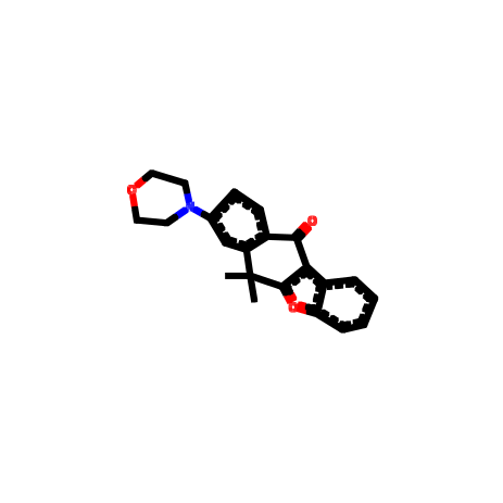 CC1(C)c2cc(N3CCOCC3)ccc2C(=O)c2c1oc1ccccc21